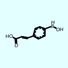 O=C(O)/C=C/c1ccc(BO)cc1